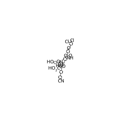 N#Cc1ccc(-c2ccc(C[C@H](NC(=O)[C@@H]3Cc4cc5c(cc4CN3C(=O)OC3CCC(O)C3)OC(c3ccc(OCc4ccc(Cl)c(Cl)c4)cc3)C(=O)N5)C(=O)O)cc2)cc1